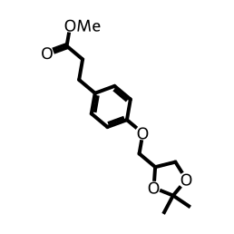 COC(=O)CCc1ccc(OCC2COC(C)(C)O2)cc1